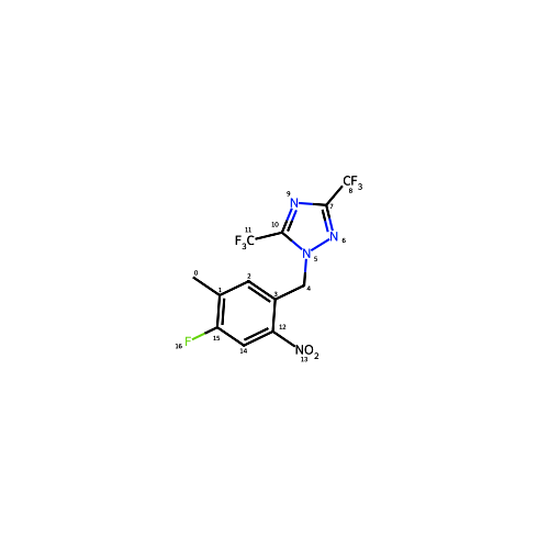 Cc1cc(Cn2nc(C(F)(F)F)nc2C(F)(F)F)c([N+](=O)[O-])cc1F